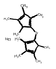 CC1=C(C)C(C)[C]([Zr][C]2=C(C)C(C)=C(C)C2C)=C1C.Cl